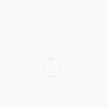 CC[N+](CC)(CC)Cc1ccccc1.F.N